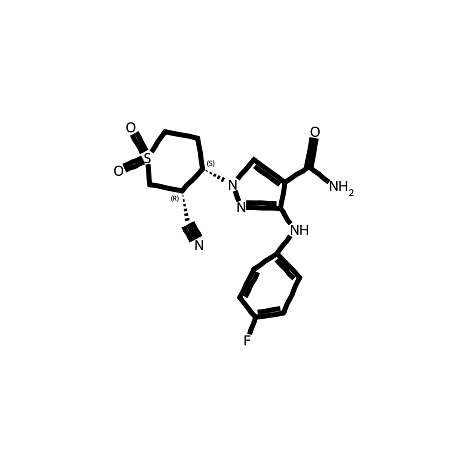 N#C[C@@H]1CS(=O)(=O)CC[C@@H]1n1cc(C(N)=O)c(Nc2ccc(F)cc2)n1